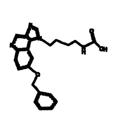 O=C(O)NCCCCn1cnc2cnc3ccc(OCc4ccccc4)cc3c21